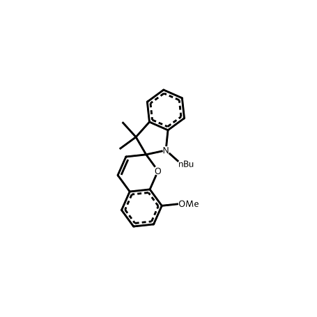 CCCCN1c2ccccc2C(C)(C)C12C=Cc1cccc(OC)c1O2